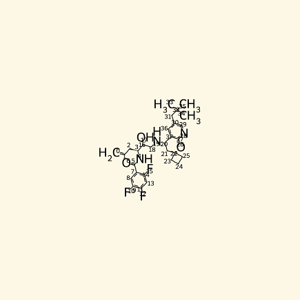 C=CC[C@H](NC(=O)c1cc(F)c(F)cc1F)[C@H](O)CN[C@H]1CC2(CCC2)Oc2ncc(CC(C)(C)C)cc21